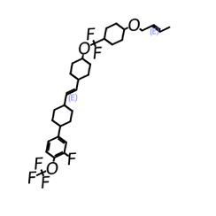 C/C=C/COC1CCC(C(F)(F)OC2CCC(/C=C/C3CCC(c4ccc(OC(F)(F)F)c(F)c4)CC3)CC2)CC1